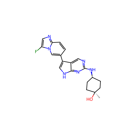 C[C@]1(O)CC[C@@H](Nc2ncc3c(-c4ccc5ncc(F)n5c4)c[nH]c3n2)CC1